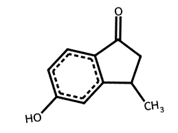 CC1CC(=O)c2ccc(O)cc21